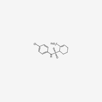 CCOC(=O)C1=CCCCC1S(=O)(=O)Nc1ccc(Cl)cc1